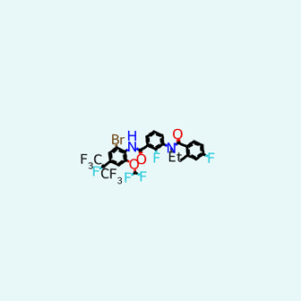 CCN(C(=O)c1ccc(F)cc1C)c1cccc(C(=O)Nc2c(Br)cc(C(F)(C(F)(F)F)C(F)(F)F)cc2OC(F)F)c1F